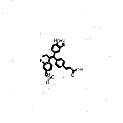 CC/C(=C(/c1ccc(/C=C/C(=O)O)cc1)c1ccc2[nH]ncc2c1)c1ccc(C[SH](=O)=O)cc1F